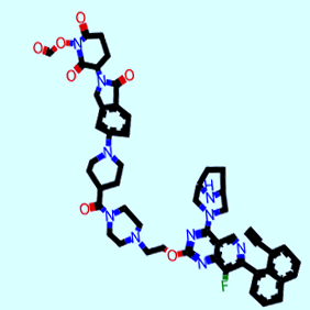 C#Cc1cccc2cccc(-c3ncc4c(N5CC6CCC(C5)N6)nc(OCCN5CCN(C(=O)C6CCN(c7ccc8c(c7)CN(C7CCC(=O)N(OC=O)C7=O)C8=O)CC6)CC5)nc4c3F)c12